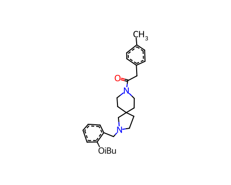 Cc1ccc(CC(=O)N2CCC3(CCN(Cc4ccccc4OCC(C)C)C3)CC2)cc1